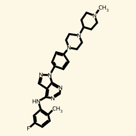 Cc1ccc(F)cc1Nc1ncnc2c1cnn2-c1ccc(N2CCN(C3CCN(C)CC3)CC2)cc1